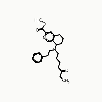 CCC(=O)CCCCN(CCc1ccccc1)C1CCCc2cc(C(=O)OC)ncc21